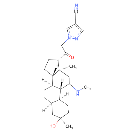 CNC1C[C@]2(C)[C@@H](C(=O)Cn3cc(C#N)cn3)CC[C@H]2[C@@H]2CC[C@@H]3C[C@](C)(O)CC[C@@H]3[C@@H]12